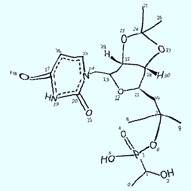 CC(O)P(=O)(O)OC(C)(C)C[C@H]1OC(n2ccc(=O)[nH]c2=O)[C@@H]2OC(C)(C)O[C@H]12